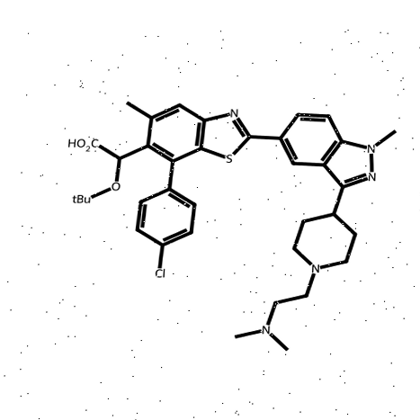 Cc1cc2nc(-c3ccc4c(c3)c(C3CCN(CCN(C)C)CC3)nn4C)sc2c(-c2ccc(Cl)cc2)c1C(OC(C)(C)C)C(=O)O